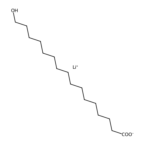 O=C([O-])CCCCCCCCCCCCCCCO.[Li+]